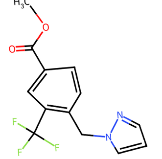 COC(=O)c1ccc(Cn2cccn2)c(C(F)(F)F)c1